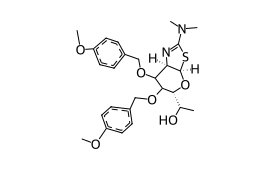 COc1ccc(COC2C(OCc3ccc(OC)cc3)[C@H]3N=C(N(C)C)S[C@H]3O[C@@H]2C(C)O)cc1